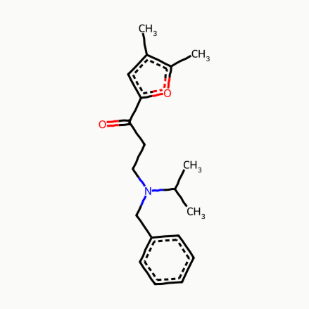 Cc1cc(C(=O)CCN(Cc2ccccc2)C(C)C)oc1C